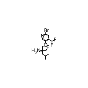 CC(C)C[C@@](N)(CF)COc1cnc(Br)cc1C(F)F